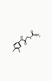 Cc1ccc(NC(=O)CSC(N)=O)cc1C